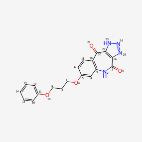 O=c1[nH]c2cc(OCCCOc3ccccc3)ccc2c(=O)c2[nH]nnc12